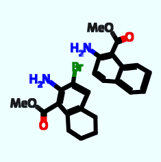 COC(=O)c1c(N)c(Br)cc2c1CCCC2.COC(=O)c1c(N)ccc2ccccc12